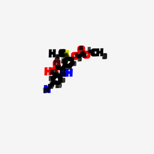 CCOC(=O)COc1ccc(C(Nc2ccc(C#N)cc2)C(=O)O)cc1SC